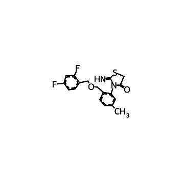 Cc1ccc(COCc2ccc(F)cc2F)c(N2C(=N)SCC2=O)c1